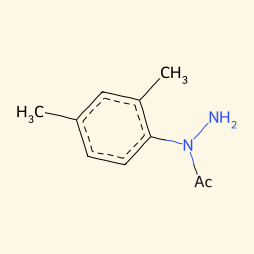 CC(=O)N(N)c1ccc(C)cc1C